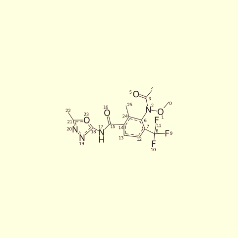 CON(C(C)=O)c1c(C(F)(F)F)ccc(C(=O)Nc2nnc(C)o2)c1C